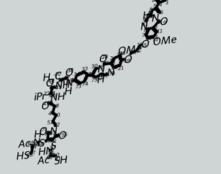 COc1ccc(C2=CN3C(=O)c4cc(OC)c(OCCCOc5cc6c(cc5OC)C(=O)N5C=C(c7ccc(NC(=O)[C@@H](C)NC(=O)[C@H](NC(=O)CCCCCN8C(=O)C(SN[C@@H](CS)C(C)=O)=C(SN[C@@H](CS)C(C)=O)C8=O)C(C)C)cc7)C[C@H]5C=N6)cc4N=C[C@@H]3C2)cc1